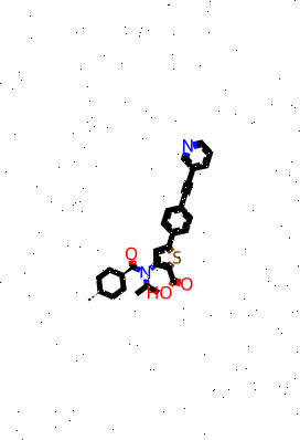 CC(C)N(c1cc(-c2ccc(C#Cc3cccnc3)cc2)sc1C(=O)O)C(=O)[C@H]1CC[C@H](C)CC1